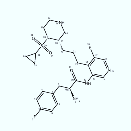 N[C@@H](Cc1ccc(F)cc1)C(=O)Nc1cncc(F)c1CCC[C@H]1CNCCN1S(=O)(=O)C1CC1